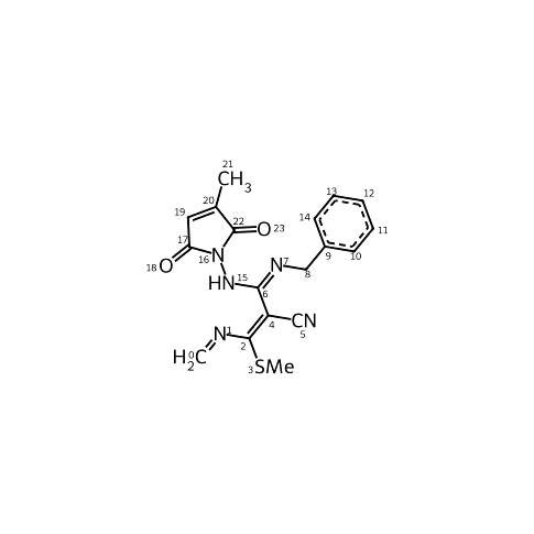 C=N/C(SC)=C(C#N)\C(=N/Cc1ccccc1)NN1C(=O)C=C(C)C1=O